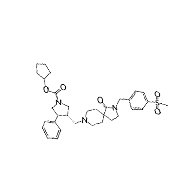 CS(=O)(=O)c1ccc(CN2CCC3(CCN(C[C@H]4CN(C(=O)OC5CCCC5)CC4c4ccccc4)CC3)C2=O)cc1